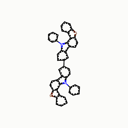 c1ccc(-n2c3ccc(-c4ccc5c(c4)c4ccc6sc7ccccc7c6c4n5-c4ccccc4)cc3c3ccc4sc5ccccc5c4c32)cc1